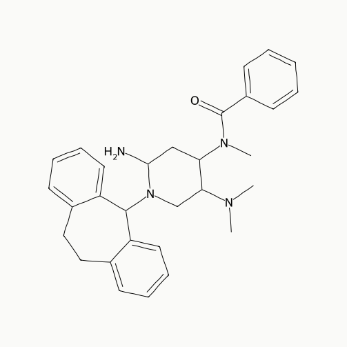 CN(C)C1CN(C2c3ccccc3CCc3ccccc32)C(N)CC1N(C)C(=O)c1ccccc1